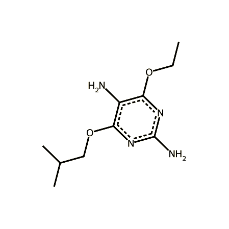 CCOc1nc(N)nc(OCC(C)C)c1N